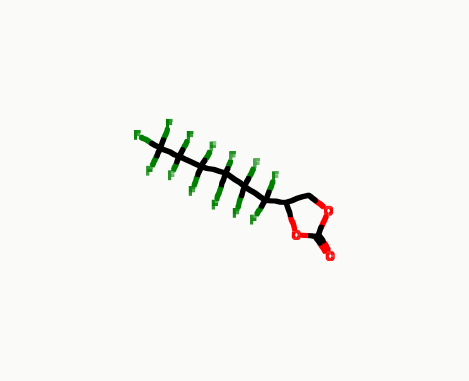 O=C1OCC(C(F)(F)C(F)(F)C(F)(F)C(F)(F)C(F)(F)C(F)(F)F)O1